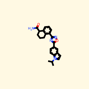 CC(C)n1ccc2cc(-c3nc(-c4cccc5c4CCCC5C(N)=O)no3)ccc21